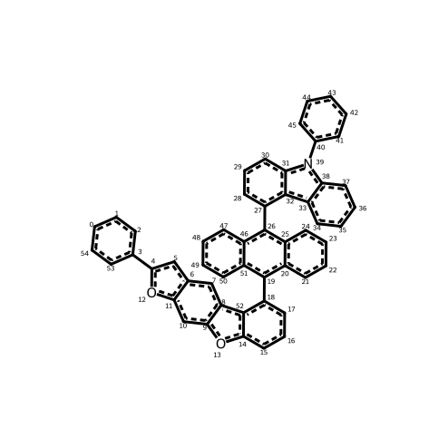 c1ccc(-c2cc3cc4c(cc3o2)oc2cccc(-c3c5ccccc5c(-c5cccc6c5c5ccccc5n6-c5ccccc5)c5ccccc35)c24)cc1